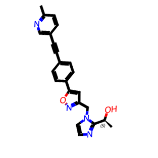 Cc1ccc(C#Cc2ccc(-c3cc(Cn4ccnc4[C@H](C)O)no3)cc2)cn1